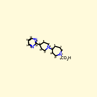 O=C(O)N1CCCC(N2CCC(c3ncccn3)CC2)CC1